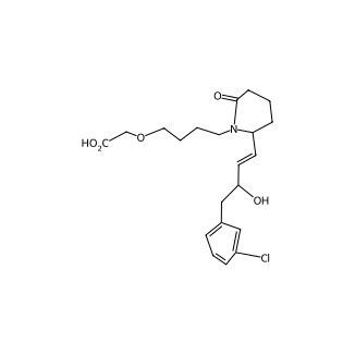 O=C(O)COCCCCN1C(=O)CCCC1/C=C/C(O)Cc1cccc(Cl)c1